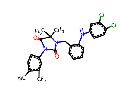 CC1(C)C(=O)N(c2ccc(C#N)c(C(F)(F)F)c2)C(=O)N1Cc1ccccc1Nc1ccc(Cl)c(Cl)c1